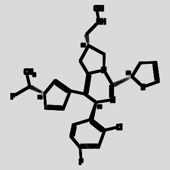 CC(F)[C@H]1C=CC(C2=C3C[C@H](CNO)CN3C([C@@H]3CC=CS3)=N[C@H]2c2ccc(F)cc2Cl)=C1